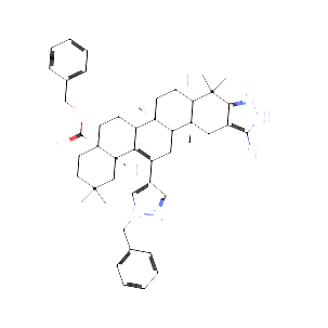 CC1(C)CC[C@]2(C(=O)OCc3ccccc3)CC[C@]3(C)C(=C(c4cnn(Cc5ccccc5)c4)CC4[C@@]5(C)Cc6c(n[nH]c6N)C(C)(C)[C@@H]5CC[C@]43C)[C@@H]2C1